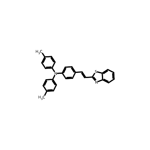 Cc1ccc(N(c2ccc(C)cc2)c2ccc(C=Cc3nc4ccccc4s3)cc2)cc1